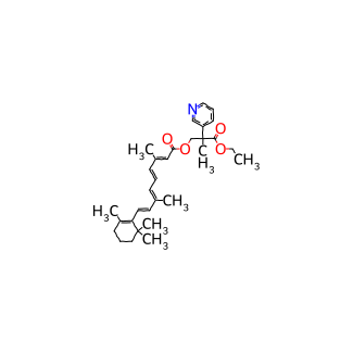 CCOC(=O)C(C)(COC(=O)C=C(C)C=CC=C(C)C=CC1=C(C)CCCC1(C)C)c1cccnc1